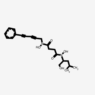 CC(C)CC(CO)N(O)C(=O)CCC(=O)N(O)CC#CC#Cc1ccccc1